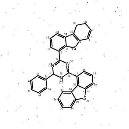 C1=Cc2sc3c(C4=NC(c5ccccc5)NC(c5cccc6sc7ccccc7c56)=N4)cccc3c2CC1